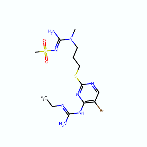 CN(CCCSc1ncc(Br)c(NC(N)=NCC(F)(F)F)n1)C(N)=NS(C)(=O)=O